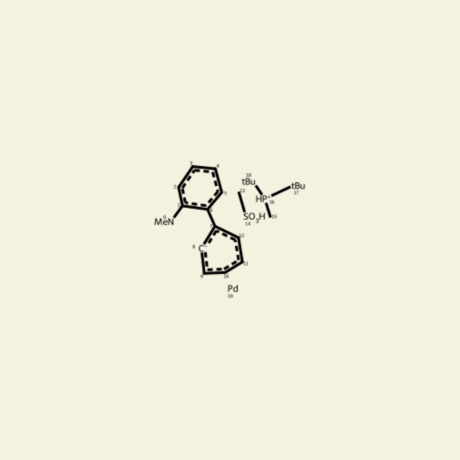 CNc1ccccc1-c1[c-]cccc1.CS(=O)(=O)O.C[PH+](C(C)(C)C)C(C)(C)C.[Pd]